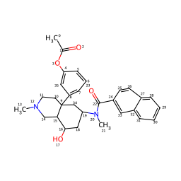 CC(=O)Oc1cccc(C23CCN(C)CC2C(O)CC(N(C)C(=O)c2ccc4ccccc4c2)C3)c1